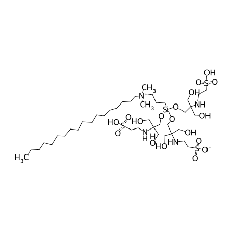 CCCCCCCCCCCCCCCCCC[N+](C)(C)CCC[Si](OCC(CO)(CO)NCCS(=O)(=O)[O-])(OCC(CO)(CO)NCCS(=O)(=O)O)OCC(CO)(CO)NCCS(=O)(=O)O